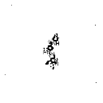 C/C=C/c1c(OCC)c(=O)n(C)c2cnc(Nc3ccc(C(=O)NC4CCN(C)CC4)cc3OC)nc12